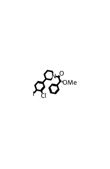 CO[C@@H](C(=O)N1CCCC(C2=CCC(I)C(Cl)=C2)C1)c1ccccc1